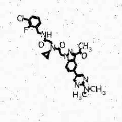 CC(=O)c1nn(CC(=O)N(CC(=O)NCc2cccc(Cl)c2F)C2CC2)c2ccc(-c3cnc(N(C)C)nc3)cc12